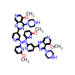 COc1cccc(N(c2cc(-c3nc(N4CCNCC4)c4c(OC)cncc4n3)ccn2)N(c2cc(-c3nc(N4CCNCC4)c4c(OC)cncc4n3)ccn2)c2cccc(OC)n2)n1